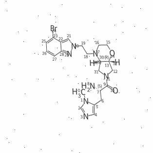 Cn1cncc1C[C@H](N)C(=O)N1C[C@H]2OCCN(CCn3cc4c(Br)cccc4n3)[C@H]2C1